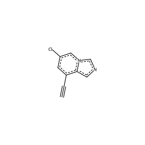 C#Cc1cc(Cl)cn2cncc12